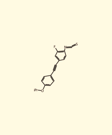 CC(C)Oc1ccc(C#Cc2ccc(N=C=S)c(F)c2)cc1